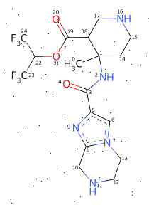 CC1(NC(=O)c2cn3c(n2)CNCC3)CCNCC1C(=O)OC(C(F)(F)F)C(F)(F)F